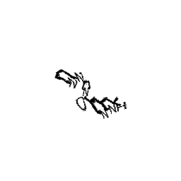 CN(c1ccccn1)[C@H]1CCN(C(=O)c2cnc3c(c2)CC(C)(C)N3)C1